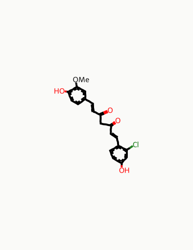 COc1cc(C=CC(=O)CC(=O)C=Cc2ccc(O)cc2Cl)ccc1O